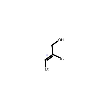 CC/C=C(\CC)CO